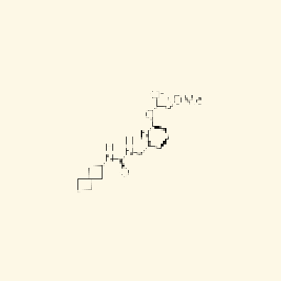 COCC(Oc1cccc(CNC(=O)NC2CC3(CCC3)C2)n1)C(F)(F)F